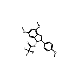 COc1ccc([C@@H]2Cc3c(OC)cc(OC)cc3[C@H]2OC(=O)C(F)(F)F)cc1